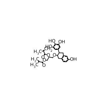 C=C(C)C(=O)OCC(COC1Cc2ccc(O)cc2CC1c1cc(O)c(O)c(O)c1)OC(=O)C(=C)C